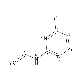 Cc1ccnc(NC=O)n1